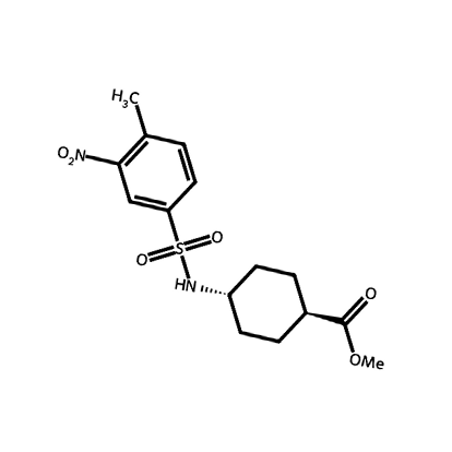 COC(=O)[C@H]1CC[C@H](NS(=O)(=O)c2ccc(C)c([N+](=O)[O-])c2)CC1